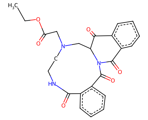 CCOC(=O)CN1CCNC(=O)c2ccccc2C(=O)N2C(=O)c3ccccc3C(=O)C2C1